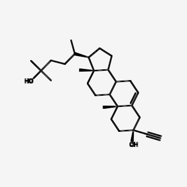 C#C[C@]1(O)CC[C@@]2(C)C(=CCC3C2CC[C@@]2(C)C3CC[C@@H]2C(C)CCC(C)(C)O)C1